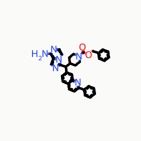 Nc1nccn2c(C(c3ccc4ccc(-c5ccccc5)nc4c3)C3CCN(C(=O)OCc4ccccc4)CC3)ncc12